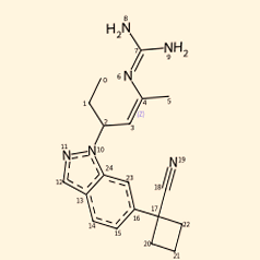 CCC(/C=C(/C)N=C(N)N)n1ncc2ccc(C3(C#N)CCC3)cc21